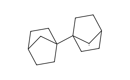 [CH]1C2CCC1(C13CCC(CC1)C3)CC2